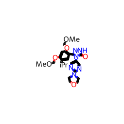 COCOc1cc(OCOC)c(C(C)C)cc1-c1n[nH]c(=O)n1-c1cnc(N2CCOCC2)nc1